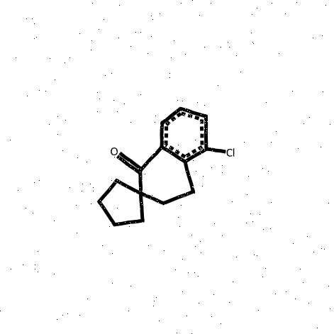 O=C1c2cccc(Cl)c2CCC12CCCC2